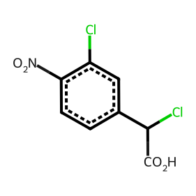 O=C(O)C(Cl)c1ccc([N+](=O)[O-])c(Cl)c1